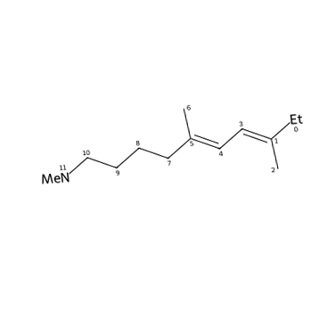 CC/C(C)=C/C=C(\C)CCCCNC